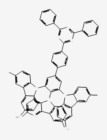 CC(C)(C)c1ccc2c(c1)c1cc(C(C)(C)C)ccc1n2-c1cc(-c2ccc(-c3nc(-c4ccccc4)nc(-c4ccccc4)n3)cc2)cc(-n2c3ccc(C(C)(C)C)cc3c3cc(C(C)(C)C)ccc32)c1-n1c2ccc(C(C)(C)C)cc2c2nc(C(C)(C)C)ccc21